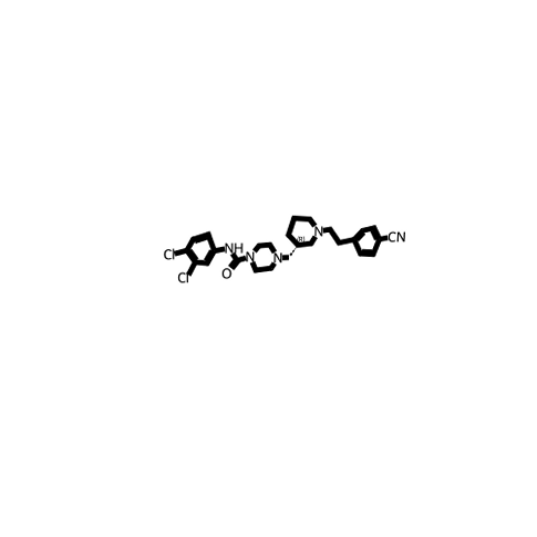 N#Cc1ccc(CCN2CCC[C@@H](CN3CCN(C(=O)Nc4ccc(Cl)c(Cl)c4)CC3)C2)cc1